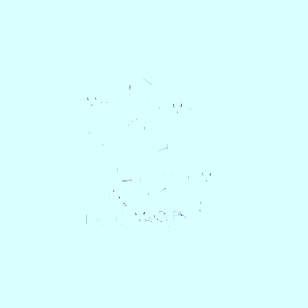 COc1cccc(OC)c1C(=O)OCC(=O)COC(=O)c1c(OC)cccc1OC.O=C(O)C[C@H](NC(=O)OCc1ccccc1)C(=O)O